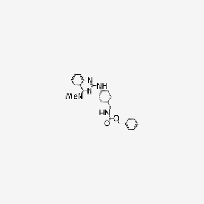 CNc1nc(NC2CCC(CNC(=O)OCc3ccccc3)CC2)nc2ccccc12